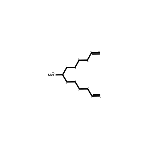 C=CCCCCC(CCCCC=C)OC